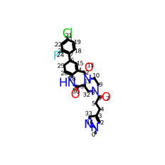 Cn1cc(CCC(=O)N2CCN3C(=O)C4=CC(c5ccc(Cl)cc5F)CC=C4NC(=O)C3C2)cn1